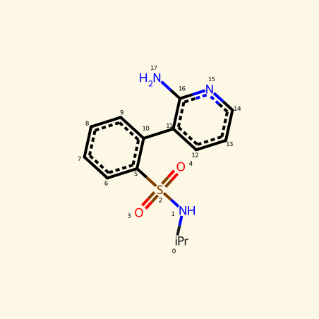 CC(C)NS(=O)(=O)c1ccccc1-c1cccnc1N